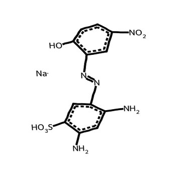 Nc1cc(N)c(S(=O)(=O)O)cc1N=Nc1cc([N+](=O)[O-])ccc1O.[Na]